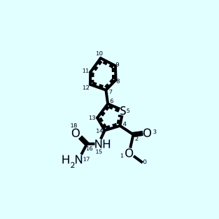 COC(=O)c1sc(-c2ccccc2)cc1NC(N)=O